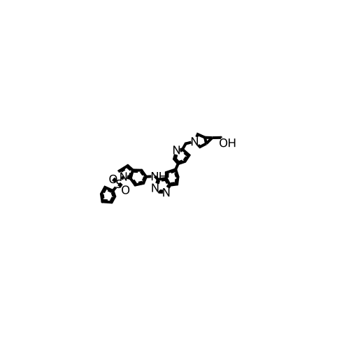 O=S(=O)(c1ccccc1)n1ccc2cc(Nc3ncnc4ccc(-c5ccc(CN6CC7C(CO)C7C6)nc5)cc34)ccc21